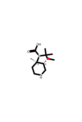 CO[C@@H]1CNCC[C@@]1(C)N(C(=O)O)C(C)(C)C